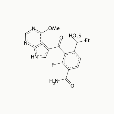 CCC(c1ccc(C(N)=O)c(F)c1C(=O)c1c[nH]c2ncnc(OC)c12)S(=O)(=O)O